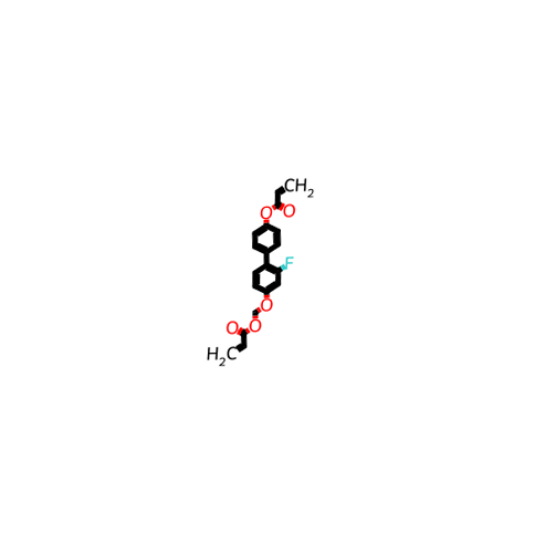 C=CC(=O)OCOc1ccc(-c2ccc(OC(=O)C=C)cc2)c(F)c1